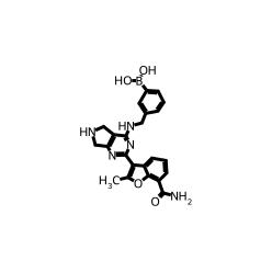 Cc1oc2c(C(N)=O)cccc2c1-c1nc2c(c(NCc3cccc(B(O)O)c3)n1)CNC2